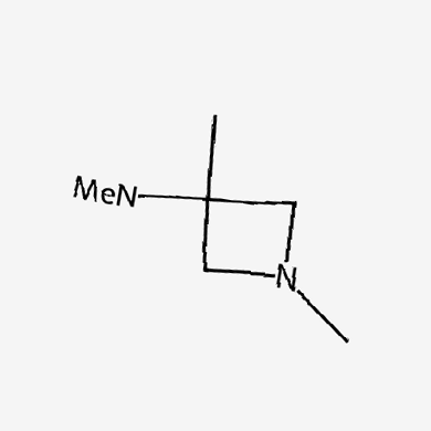 CNC1(C)CN(C)C1